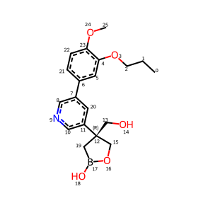 CCCOc1cc(-c2cncc([C@]3(CO)COB(O)C3)c2)ccc1OC